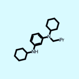 CC(C)CN(c1cccc(NC2CCCCC2)c1)C1CCCCC1